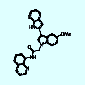 COc1ccc2c(c1)c(-c1cc3cccnc3[nH]1)cn2CC(=O)Nc1cccc2cccnc12